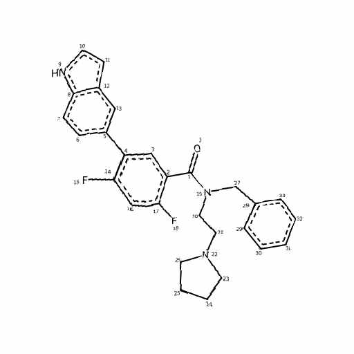 O=C(c1cc(-c2ccc3[nH]ccc3c2)c(F)cc1F)N(CCN1CCCC1)Cc1ccccc1